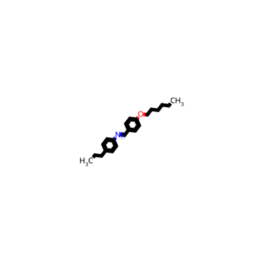 CCCCCCOc1ccc(/C=N/c2ccc(CCC)cc2)cc1